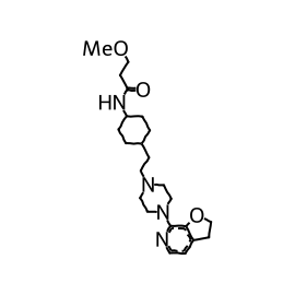 COCCC(=O)NC1CCC(CCN2CCN(c3nccc4c3OCC4)CC2)CC1